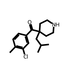 Cc1ccc(C(=O)C2(CC(C)C)CCNCC2)cc1Cl